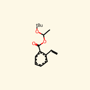 C=Cc1ccccc1C(=O)OC(C)OC(C)(C)C